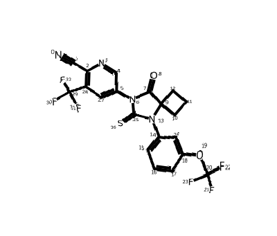 N#Cc1ncc(N2C(=O)C3(CCC3)N(c3cccc(OC(F)(F)F)c3)C2=S)cc1C(F)(F)F